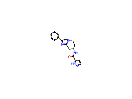 O=C(NC1CCn2cc(-c3ccccc3)nc2C1)c1ccn[nH]1